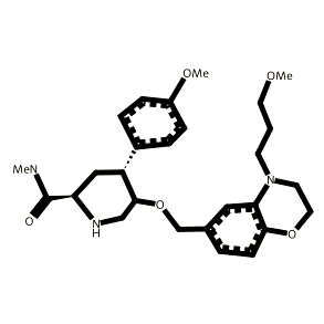 CNC(=O)[C@H]1C[C@H](c2ccc(OC)cc2)C(OCc2ccc3c(c2)N(CCCOC)CCO3)CN1